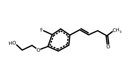 CC(=O)CC=Cc1ccc(OCCO)c(F)c1